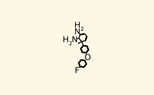 CC1(c2ccc(Oc3ccc(F)cc3)cc2)C=CC=C(N)C1N